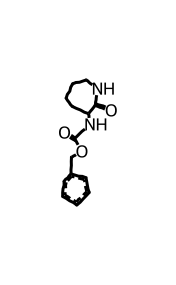 O=C(NC1CCCCNC1=O)OCc1ccccc1